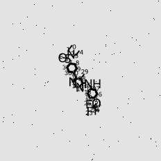 CCN(CC)[S+]([O-])c1ccc(-c2ncnc(Nc3ccc(OC(F)(F)F)cc3)c2C)cc1